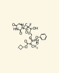 C[C@@H](C(=O)OC1CCC1)N(OC[C@H]1O[C@@H](n2ccc(=O)[nH]c2=O)[C@](C)(F)[C@@H]1O)[PH](=O)Oc1ccccc1